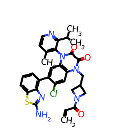 C=CC(=O)N1CC(Cn2c(=O)c(=O)n(-c3c(C)ccnc3C(C)C)c3cc(-c4cccc5sc(N)nc45)c(Cl)cc32)C1